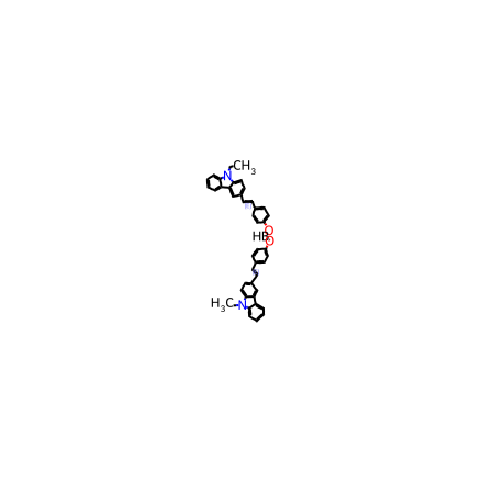 CCn1c2ccccc2c2cc(/C=C/c3ccc(OBOc4ccc(/C=C/c5ccc6c(c5)c5ccccc5n6CC)cc4)cc3)ccc21